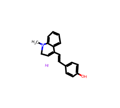 CN1CC=C(C=Cc2ccc(O)cc2)c2ccccc21.I